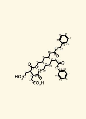 O=C(O)CC(C(=O)OCCCCCC(=O)OCc1ccccc1)C(CC(=O)O)C(=O)OCCCCCC(=O)Oc1ccccc1